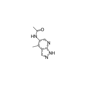 CC(=O)Nc1cnc2[nH]ncc2c1C